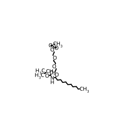 CCCCCCCCCCC(NC(=O)OC(C)(C)C)OCCOCCOCCOS(C)(=O)=O